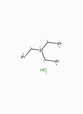 CC(C)[CH2][Zr]([CH2]C(C)C)[CH2]C(C)C.Cl